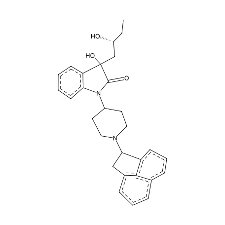 CC[C@@H](O)CC1(O)C(=O)N(C2CCN(C3Cc4cccc5cccc3c45)CC2)c2ccccc21